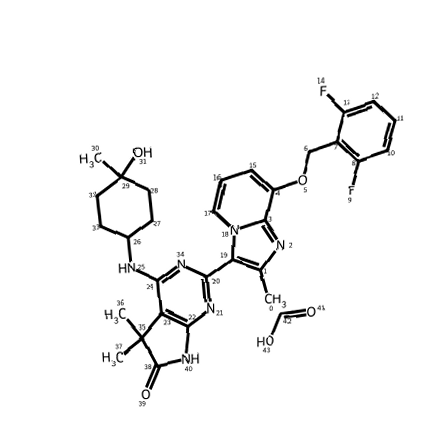 Cc1nc2c(OCc3c(F)cccc3F)cccn2c1-c1nc2c(c(NC3CCC(C)(O)CC3)n1)C(C)(C)C(=O)N2.O=CO